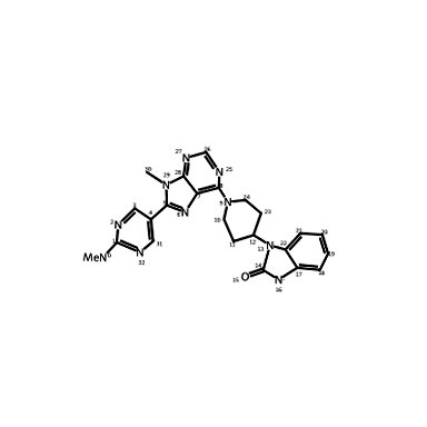 CNc1ncc(-c2nc3c(N4CCC(N5C(=O)[N]c6ccccc65)CC4)ncnc3n2C)cn1